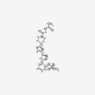 CC(=O)OCC(=O)N1CCC(c2nc(C3=NOC(c4ccccc4OS(C)(=O)=O)C3)cs2)CC1